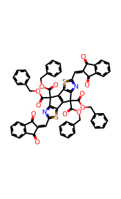 O=C1C(=Cc2nc3c(s2)C2=C(c4sc(C=C5C(=O)c6ccccc6C5=O)nc4C2(C(=O)OCc2ccccc2)C(=O)OCc2ccccc2)C3(C(=O)OCc2ccccc2)C(=O)OCc2ccccc2)C(=O)c2ccccc21